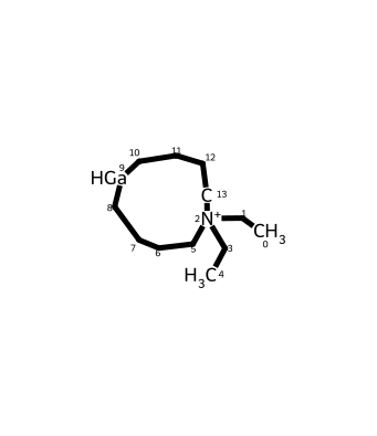 CC[N+]1(CC)CCC[CH2][GaH][CH2]CCC1